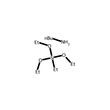 CCCCN.CCO[Si](CC)(OCC)OCC